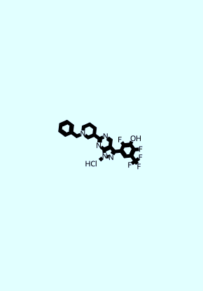 Cl.Cn1nc(-c2cc(C(F)(F)F)c(F)c(O)c2F)c2cnc(C3CCCN(Cc4ccccc4)C3)nc21